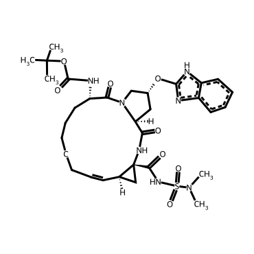 CN(C)S(=O)(=O)NC(=O)[C@@]12C[C@H]1/C=C\CCCCC[C@H](NC(=O)OC(C)(C)C)C(=O)N1C[C@H](Oc3nc4ccccc4[nH]3)C[C@H]1C(=O)N2